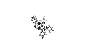 N#CC1(NC(=O)C(CS(=O)(=O)CC2CC2)N[C@H](c2ccc(F)cc2)C(F)(F)Oc2ccc(F)cc2)CCS(=O)(=O)CC1